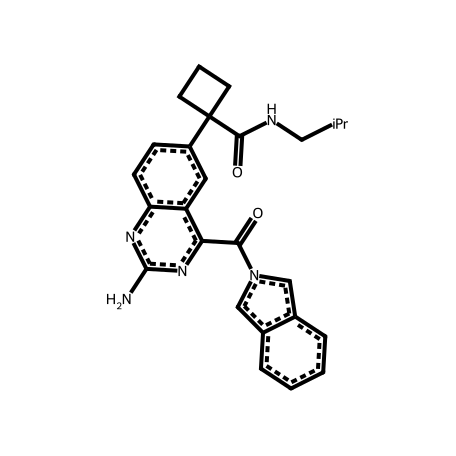 CC(C)CNC(=O)C1(c2ccc3nc(N)nc(C(=O)n4cc5ccccc5c4)c3c2)CCC1